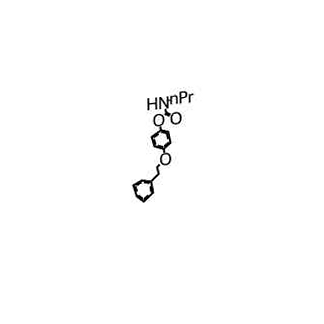 CCCNC(=O)Oc1ccc(OCCc2ccccc2)cc1